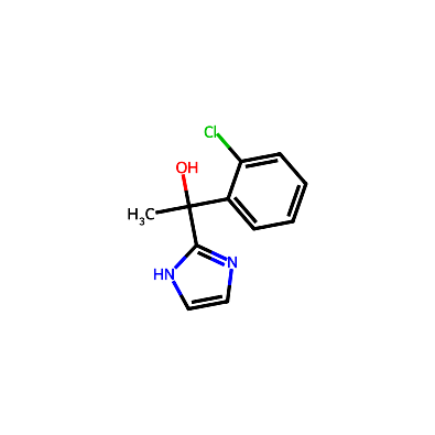 CC(O)(c1ncc[nH]1)c1ccccc1Cl